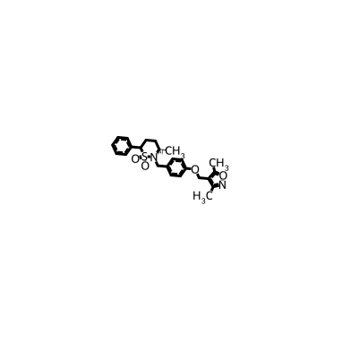 Cc1noc(C)c1COc1ccc(CN2[C@@H](C)CCC(c3ccccc3)S2(=O)=O)cc1